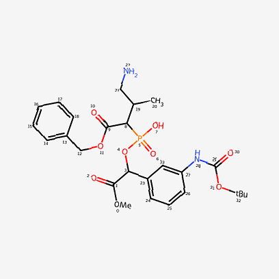 COC(=O)C(OP(=O)(O)C(C(=O)OCc1ccccc1)C(C)CN)c1cccc(NC(=O)OC(C)(C)C)c1